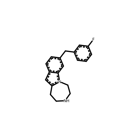 Fc1cccc(Cc2ccc3cc4n(c3c2)CCNCC4)c1